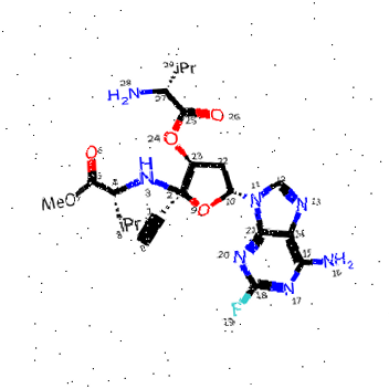 C#C[C@@]1(N[C@@H](C(=O)OC)C(C)C)O[C@@H](n2cnc3c(N)nc(F)nc32)C[C@@H]1OC(=O)[C@H](N)C(C)C